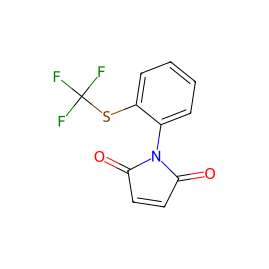 O=C1C=CC(=O)N1c1ccccc1SC(F)(F)F